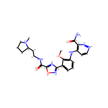 COc1c(Nc2ccnnc2C(N)=O)cccc1-c1noc(C(=O)NCCC2CCCN2C)n1